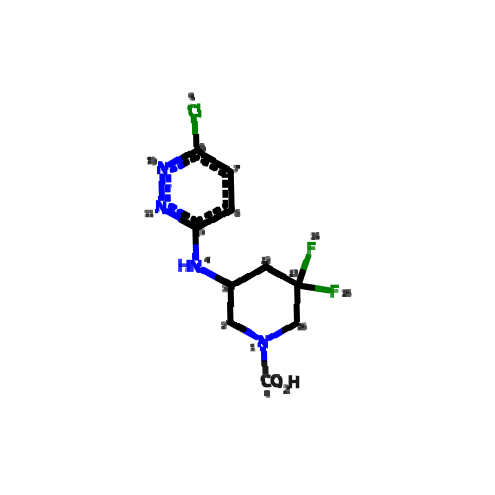 O=C(O)N1CC(Nc2ccc(Cl)nn2)CC(F)(F)C1